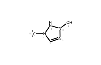 CN1C=NN(O)N1